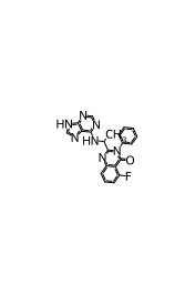 CC(Nc1ncnc2[nH]cnc12)c1nc2cccc(F)c2c(=O)n1-c1ccccc1